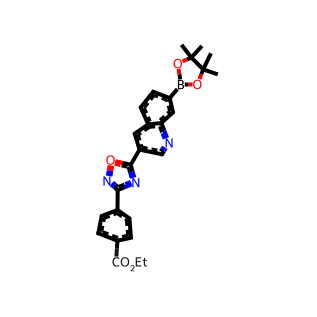 CCOC(=O)c1ccc(-c2noc(-c3cnc4cc(B5OC(C)(C)C(C)(C)O5)ccc4c3)n2)cc1